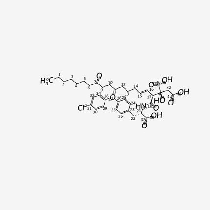 CCCCCCCC(=O)CCCCCC/C=C/[C@H](C(=O)N[C@@H](Cc1ccc(Oc2ccc(Cl)cc2)cc1)C(=O)O)[C@@](O)(CC(=O)O)C(=O)O